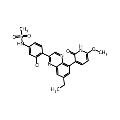 CCc1cc(-c2ccc(OC)[nH]c2=O)c2ncc(-c3ccc(NS(C)(=O)=O)cc3Cl)nc2c1